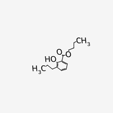 CCCCOC(=O)c1cccc(CCC)c1O